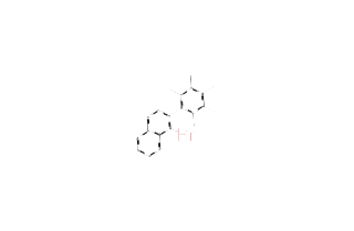 Cc1c(C)c(C)c(-c2ccc3ccccc3c2Br)c(C)c1C